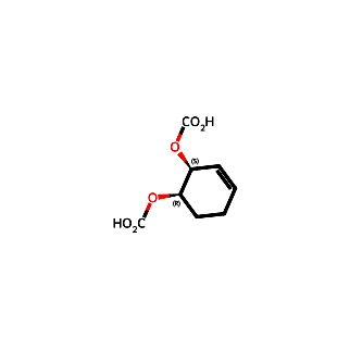 O=C(O)O[C@H]1C=CCC[C@H]1OC(=O)O